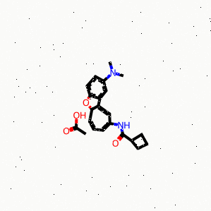 CC(=O)O.CN(C)c1ccc2c(c1)C1=CC(NC(=O)C3CCC3)=CC=CC1O2